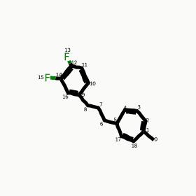 CC1=CC=CC(CCCc2ccc(F)c(F)c2)C=C1